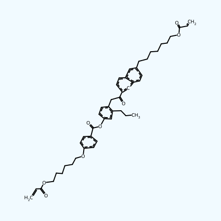 C=CC(=O)OCCCCCCCc1ccc2cc(C(=O)Cc3ccc(OC(=O)c4ccc(OCCCCCCOC(=O)C=C)cc4)cc3CCC)ccc2c1